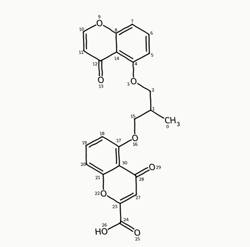 CC(COc1cccc2occc(=O)c12)COc1cccc2oc(C(=O)O)cc(=O)c12